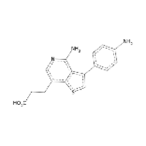 Nc1ccc(-c2csc3c(CCC(=O)O)cnc(N)c23)cc1